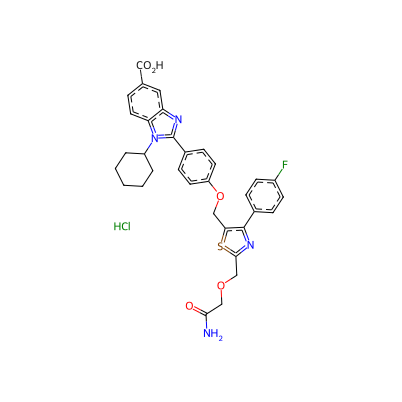 Cl.NC(=O)COCc1nc(-c2ccc(F)cc2)c(COc2ccc(-c3nc4cc(C(=O)O)ccc4n3C3CCCCC3)cc2)s1